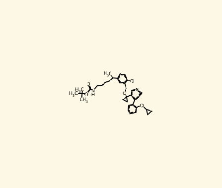 C[C@H](CCCCNC(=O)OC(C)(C)C)c1ccc(Cl)c(COC2(c3cnccc3-c3ccccc3OC3CC3)CC2)c1